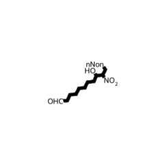 CCCCCCCCCCC(C(O)CCCCCCCC=O)[N+](=O)[O-]